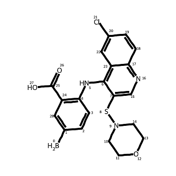 Bc1ccc(Nc2c(SN3CCOCC3)cnc3ccc(Cl)cc23)c(C(=O)O)c1